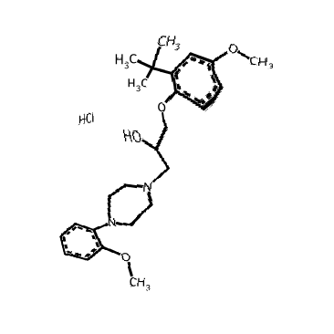 COc1ccc(OCC(O)CN2CCN(c3ccccc3OC)CC2)c(C(C)(C)C)c1.Cl